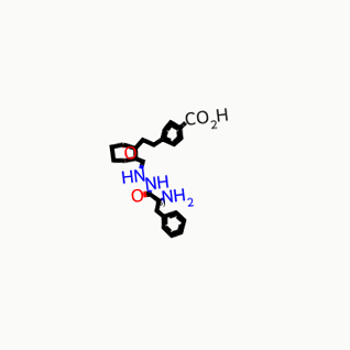 N[C@@H](Cc1ccccc1)C(=O)NNCC1C2CCC(O2)C1CCc1ccc(C(=O)O)cc1